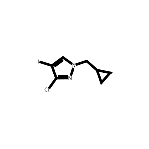 Clc1nn(CC2CC2)cc1I